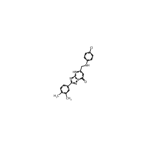 Cc1ccc(-c2nc3[nH]c(CNc4ccc(Cl)cc4)cc(=O)n3n2)cc1C